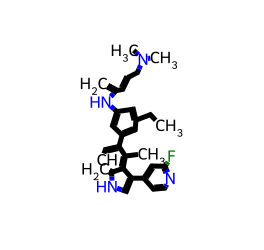 C=C(/C=C/CN(C)C)Nc1cc(CC)cc(C(=C/C)/C(C)=c2/c(-c3ccnc(F)c3)c[nH]c2=C)c1